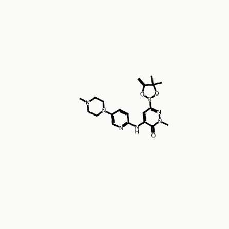 C=C1OB(c2cc(Nc3ccc(N4CCN(C)CC4)cn3)c(=O)n(C)n2)OC1(C)C